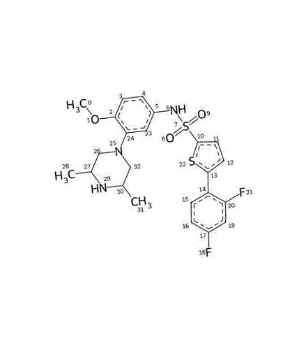 COc1ccc(NS(=O)(=O)c2ccc(-c3ccc(F)cc3F)s2)cc1N1CC(C)NC(C)C1